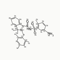 Cc1cc(C)c(CN2C(C(=O)NS(=O)(=O)c3cc(N)ccc3C)c3ccccc3C2(C)C)c(C)c1